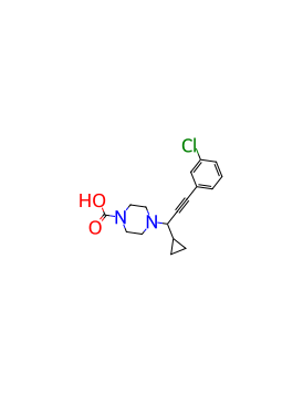 O=C(O)N1CCN(C(C#Cc2cccc(Cl)c2)C2CC2)CC1